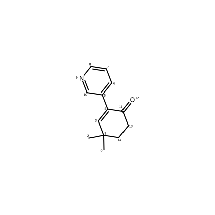 CC1(C)C=C(c2cccnc2)C(=O)CC1